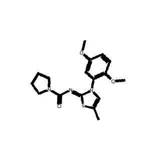 COc1ccc(OC)c(-n2cc(C)s/c2=N\C(=O)N2CCCC2)c1